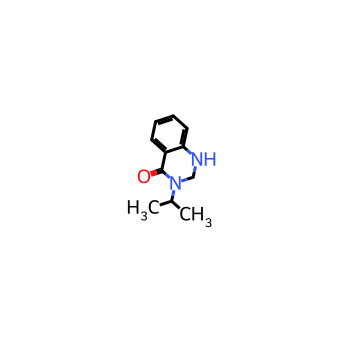 CC(C)N1CNc2ccccc2C1=O